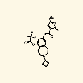 Cn1nc(C(C)(C)C)cc1C(=O)Nc1ccc2c(c1)CCN(C1CCC1)CC2.O=C(O)C(F)(F)F